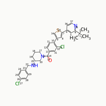 CC(C)(C)c1cc(-c2cc(-c3ccc(C(=O)N4CCC[C@@H](NCc5ccc(Cl)cc5)C4)cc3Cl)cs2)ccn1